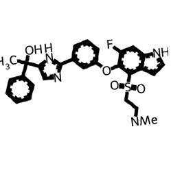 CNCCS(=O)(=O)c1c(Oc2cccc(-c3ncc(C(C)(O)c4ccccc4)[nH]3)c2)c(F)cc2[nH]ccc12